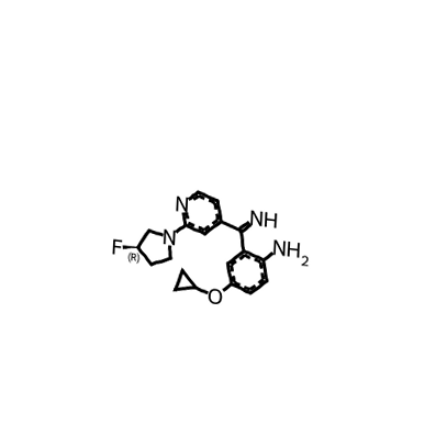 N=C(c1ccnc(N2CC[C@@H](F)C2)c1)c1cc(OC2CC2)ccc1N